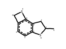 CC1Cc2c(ccc3c2SC3)S1